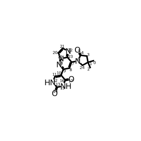 CC1(C)CC(=O)N(c2cc(-c3c[nH]c(=O)[nH]c3=O)nn3ccnc23)C1